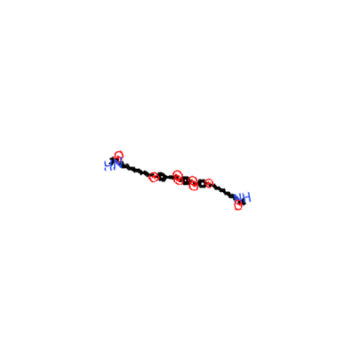 C=C(C)C(=O)NCCCCCCCCCCCOc1ccc(C#CC(=O)Oc2ccc(OC(=O)C3CCC(OCCCCCCCCCCCNC(=O)C(=C)C)CC3)cc2)cc1